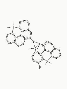 CC1(C)c2c(F)ccc3c2-c2c4c1cccc4cc[n+]2C1(C)C(c2cc4cccc5c4c4c6c(cccc6cc[n+]24)C5(C)C)C31C